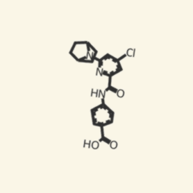 O=C(O)c1ccc(NC(=O)c2cc(Cl)cc(N3C4CCC3CC4)n2)cc1